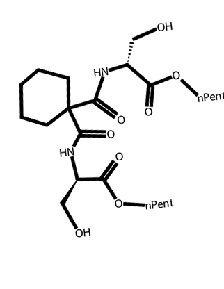 CCCCCOC(=O)[C@@H](CO)NC(=O)C1(C(=O)N[C@H](CO)C(=O)OCCCCC)CCCCC1